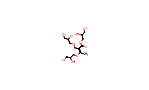 CC(OCC(O)CO)=C(COCC(O)CO)C(=O)OCC(O)CO